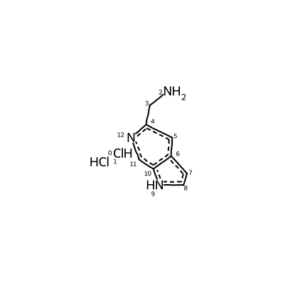 Cl.Cl.NCc1cc2cc[nH]c2cn1